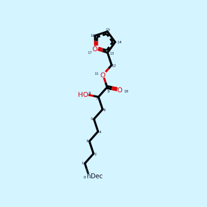 CCCCCCCCCCCCCCCCC(O)C(=O)OCc1ccco1